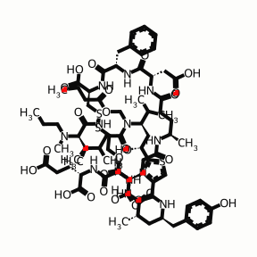 CCCC(=O)OCN(C(=O)[C@@H](NC(=O)[C@@H](CC)N(C)CCC)C(C)CC)[C@H](C[C@@H](O)c1nc(C(=O)N[C@@H](Cc2ccc(O)cc2)C[C@H](C)C(=O)NNC(=O)OCCSSC[C@H](NC(=O)[C@H](Cc2ccccc2)NC(=O)[C@H](CC(=O)O)NC(=O)CC[C@@H](C)NC(=O)CC[C@H](NC(=O)N[C@@H](CCC(=O)O)C(=O)O)C(=O)O)C(=O)O)cs1)C(C)C